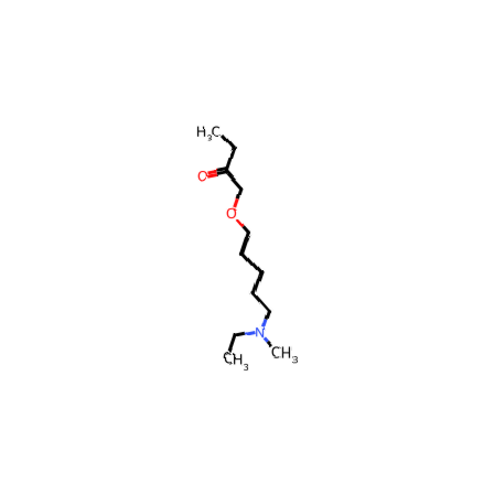 CCC(=O)COCCCCCN(C)CC